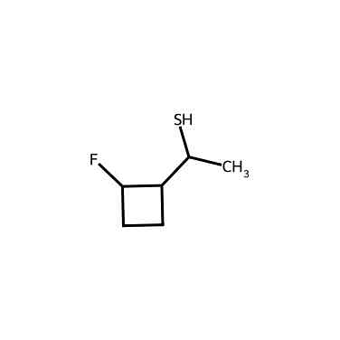 CC(S)C1CCC1F